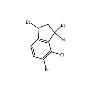 CCN1CC(CC)(CC)c2c1ccc(Br)c2Cl